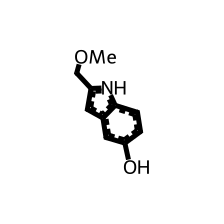 COCc1cc2cc(O)ccc2[nH]1